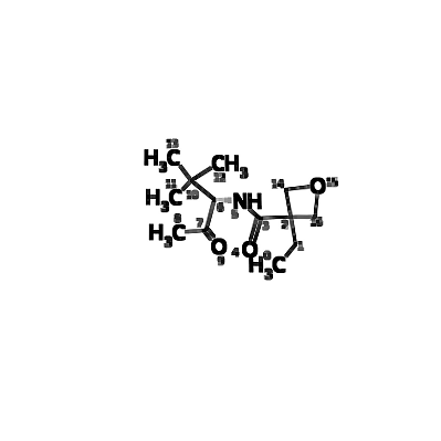 CCC1(C(=O)N[C@H](C(C)=O)C(C)(C)C)COC1